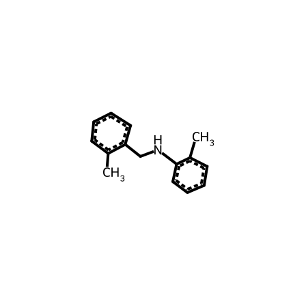 Cc1ccccc1CNc1ccccc1C